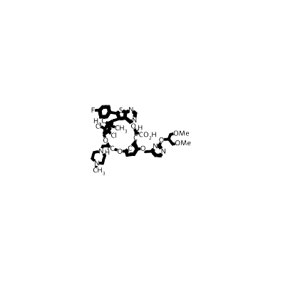 COCC(COC)Oc1nccc(COc2ccc3cc2C[C@H](C(=O)O)Oc2ncnc4sc(-c5ccc(F)cc5)c(c24)-c2c(C)c(Cl)c(c(Cl)c2C)O[C@H](CN2CCN(C)CC2)CO3)n1